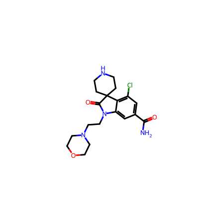 NC(=O)c1cc(Cl)c2c(c1)N(CCN1CCOCC1)C(=O)C21CCNCC1